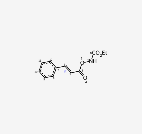 CCOC(=O)NOC(=O)/C=C/c1ccccc1